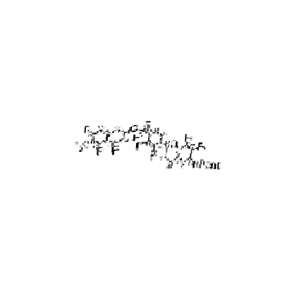 CCCCCc1cc2c(c(F)c1F)OC(c1ccc(C(F)(F)Oc3cc(F)c4c(F)c(C(F)(F)F)c(F)cc4c3)c(F)c1F)CC2